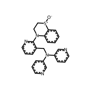 [O-][S+]1CCN(c2ncccc2CN(c2cccnc2)c2cccnc2)c2ccccc21